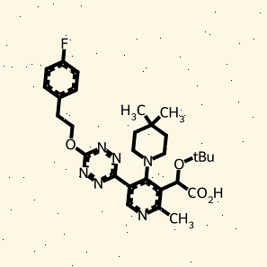 Cc1ncc(-c2nnc(OCCc3ccc(F)cc3)nn2)c(N2CCC(C)(C)CC2)c1C(OC(C)(C)C)C(=O)O